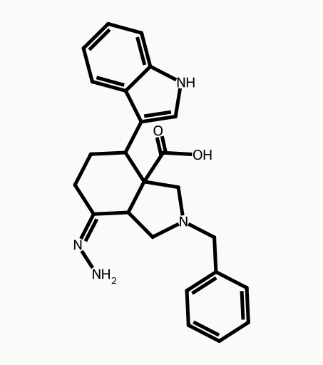 N/N=C1/CCC(c2c[nH]c3ccccc23)C2(C(=O)O)CN(Cc3ccccc3)CC12